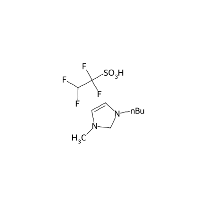 CCCCN1C=CN(C)C1.O=S(=O)(O)C(F)(F)C(F)F